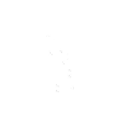 CC(C)n1ncc(Cl)c1-c1cc2n(n1)CCC(=O)N2Cc1ncc(B2OC(C)(C)C(C)(C)O2)cn1